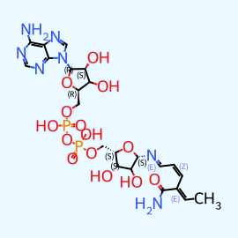 C\C=C(/C=C\C=N\[C@H]1O[C@@H](COP(=O)(O)OP(=O)(O)OC[C@H]2O[C@@H](n3cnc4c(N)ncnc43)[C@@H](O)C2O)[C@@H](O)C1O)C(N)=O